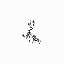 C=CC(=O)NCc1cccc(-c2ccc3nc(-c4cccnc4N)n(-c4ccc(C5(NC(=O)OC(C)(C)C)CCC5)cc4)c3n2)c1